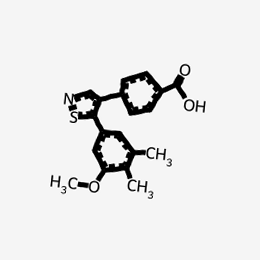 COc1cc(-c2sncc2-c2ccc(C(=O)O)cc2)cc(C)c1C